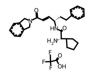 N[C@H](C(=O)N[C@H](/C=C/C(=O)N1Cc2ccccc2C1)CCc1ccccc1)C1CCCC1.O=C(O)C(F)(F)F